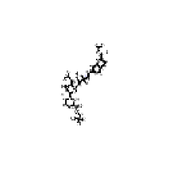 CC(=O)O[C@H](C)c1ccc2ccc(/C=C/C(C)(C)C(=O)N[C@H](C(=O)N[C@@H](C)C(=O)N3CCC[C@@H](C(=O)OCC(Cl)(Cl)Cl)N3)C(C)C)cc2n1